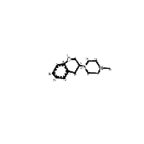 CN1CCN([C]2COc3ccccc3C2)CC1